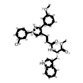 COC(=O)[C@H](Cc1c[nH]c2ccccc12)NC(=O)/C=C/c1cn(-c2cccc(Cl)c2)nc1-c1cccc(OC)c1